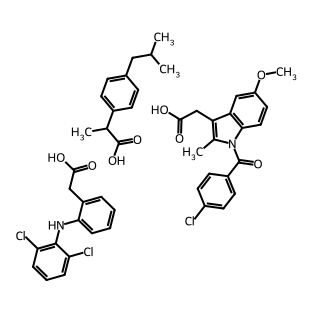 CC(C)Cc1ccc(C(C)C(=O)O)cc1.COc1ccc2c(c1)c(CC(=O)O)c(C)n2C(=O)c1ccc(Cl)cc1.O=C(O)Cc1ccccc1Nc1c(Cl)cccc1Cl